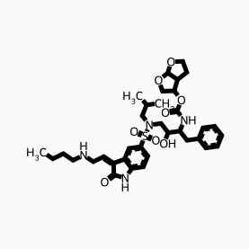 CCCCNCC=C1C(=O)Nc2ccc(S(=O)(=O)N(CC(C)C)CC(O)C(Cc3ccccc3)NC(=O)OC3COC4OCCC34)cc21